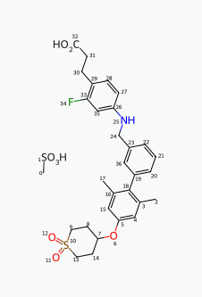 CS(=O)(=O)O.Cc1cc(OC2CCS(=O)(=O)CC2)cc(C)c1-c1cccc(CNc2ccc(CCC(=O)O)c(F)c2)c1